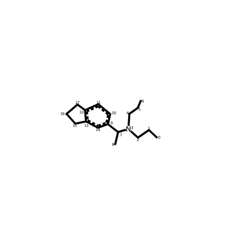 CCCN(CCC)C(C)c1ccc2c(c1)CCC2